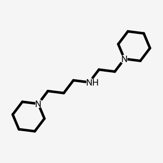 C1CCN(CCCNCCN2CCCCC2)CC1